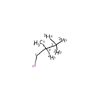 [2H]C([2H])([2H])C([2H])(C)CI